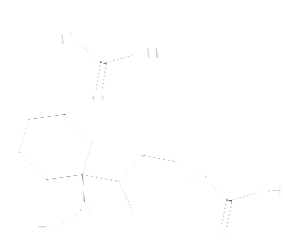 CCC(C)C1(OO)CCCCC1.O=C(O)O.O=C(O)O